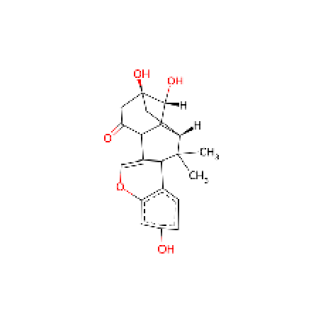 CC1(C)C2C(=COc3cc(O)ccc32)C2C(=O)C[C@@]3(O)C[C@H]1C2[C@H]3O